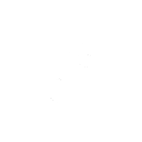 CO[Si](OC)(OC)C(=O)CCNCCN